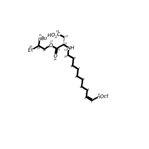 CCCCCCCC/C=C\CCCCCCCCN[C@@H](CC(=O)O)C(=O)OCC(CC)CCCC